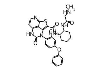 CNCC(=O)N[C@H]1CCCC[C@H]1NC(=O)c1sc2nccc3c2c1N(c1ccc(Oc2ccccc2)cc1C)C(=O)N3